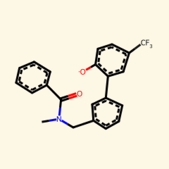 CN(Cc1cccc(-c2cc(C(F)(F)F)ccc2[O])c1)C(=O)c1ccccc1